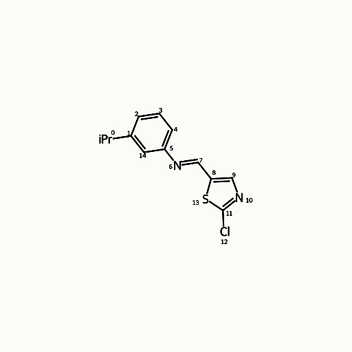 CC(C)c1cccc(/N=C/c2cnc(Cl)s2)c1